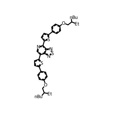 CCCCC(CC)COc1ccc(-c2ccc(-c3cnc(-c4ccc(-c5ccc(OCC(CC)CCCC)cc5)s4)c4nsnc34)s2)cc1